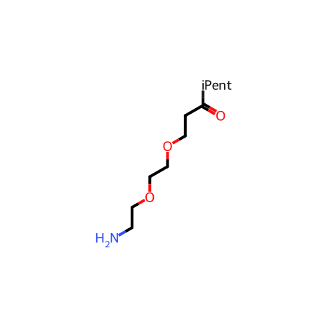 CCCC(C)C(=O)CCOCCOCCN